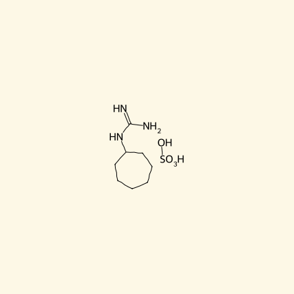 N=C(N)NC1CCCCCC1.O=S(=O)(O)O